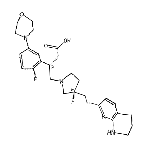 O=C(O)C[C@H](CN1CC[C@](F)(CCc2ccc3c(n2)NCCC3)C1)c1cc(N2CCOCC2)ccc1F